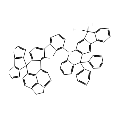 CC1(C)c2ccccc2-c2cc3c(cc21)N(c1cccc2c1oc1c4c(ccc12)C1(c2ccsc2-c2sccc21)c1ccc2c5c(ccc-4c15)CC2)c1ccccc1C3(c1ccccc1)c1ccccc1